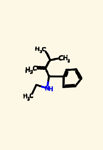 C=C(C(C)C)C(NCC)c1ccccc1